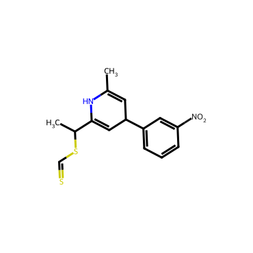 CC1=CC(c2cccc([N+](=O)[O-])c2)C=C(C(C)SC=S)N1